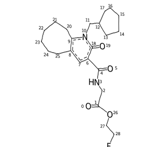 O=C(CNC(=O)c1cc2c(n(CC3CCCCC3)c1=O)CCCCCC2)OCCF